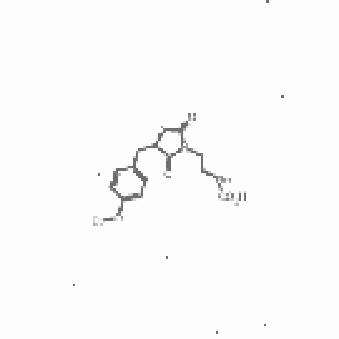 CCOc1ccc(CC2SC(=O)N(CCNC(=O)O)C2=O)cc1